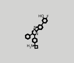 NC1(c2ccc(-c3nc4c5ccc(-c6ccc(F)c(O)c6)cc5nn4cc3-c3ccccc3)cc2)CCC1